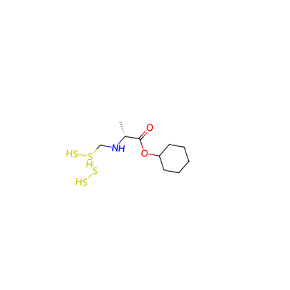 C[C@@H](NC[SH](S)SS)C(=O)OC1CCCCC1